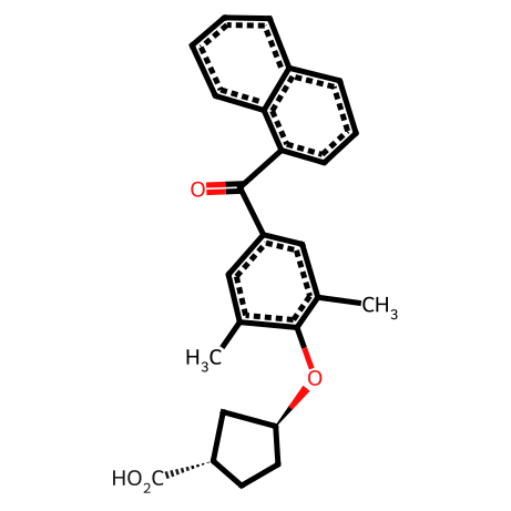 Cc1cc(C(=O)c2cccc3ccccc23)cc(C)c1O[C@H]1CC[C@H](C(=O)O)C1